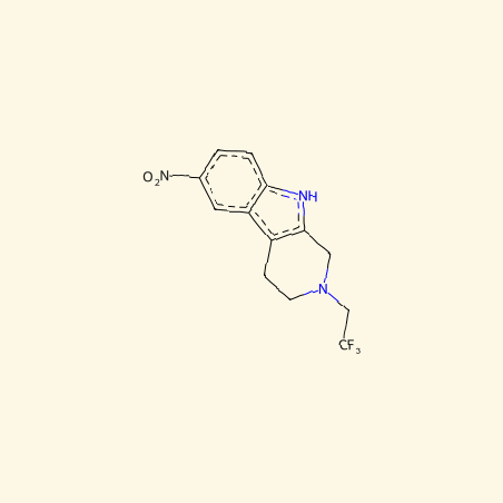 O=[N+]([O-])c1ccc2[nH]c3c(c2c1)CCN(CC(F)(F)F)C3